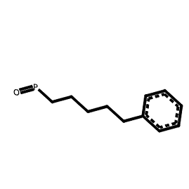 O=PCCCCCc1ccccc1